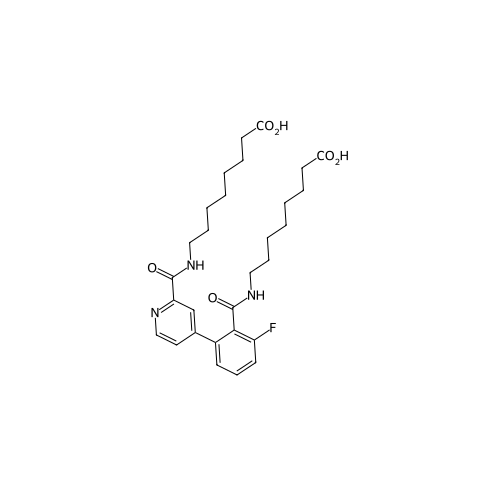 O=C(O)CCCCCCCNC(=O)c1cc(-c2cccc(F)c2C(=O)NCCCCCCCC(=O)O)ccn1